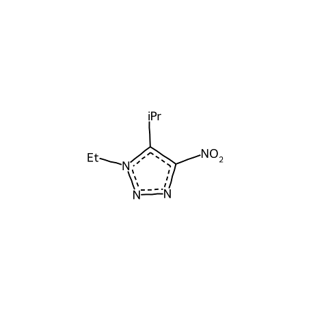 CCn1nnc([N+](=O)[O-])c1C(C)C